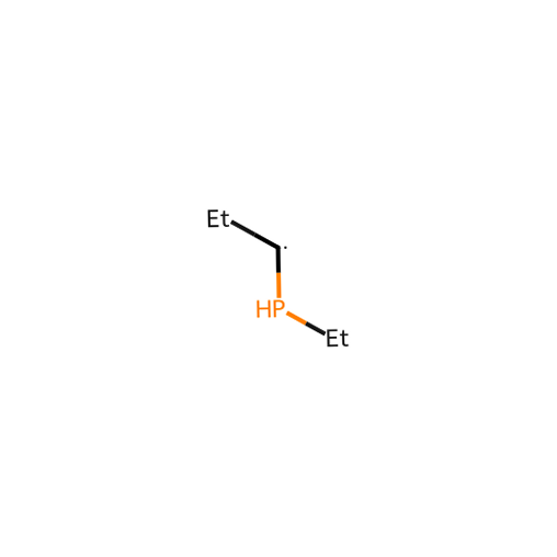 CC[CH]PCC